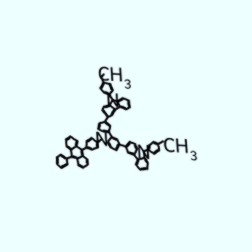 CCc1ccc(-n2c3ccccc3c3cc(-c4ccc5c(c4)c4cc(-c6ccc7c(c6)c6ccccc6n7-c6ccc(CC)cc6)ccc4n5-c4ccc(-c5c6ccccc6c(-c6ccccc6)c6ccccc56)cc4)ccc32)cc1